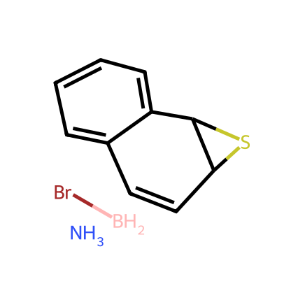 BBr.C1=CC2SC2c2ccccc21.N